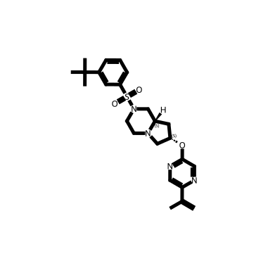 C=C(C)c1cnc(O[C@H]2C[C@H]3CN(S(=O)(=O)c4cccc(C(C)(C)C)c4)CCN3C2)cn1